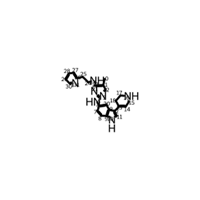 Cc1cnc(Nc2ccc3[nH]cc(C4=CCNCC4)c3c2)nc1NCCc1ccccn1